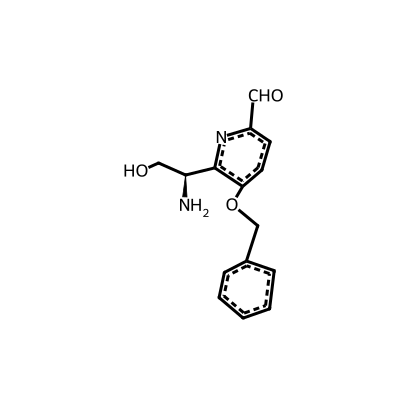 N[C@@H](CO)c1nc(C=O)ccc1OCc1ccccc1